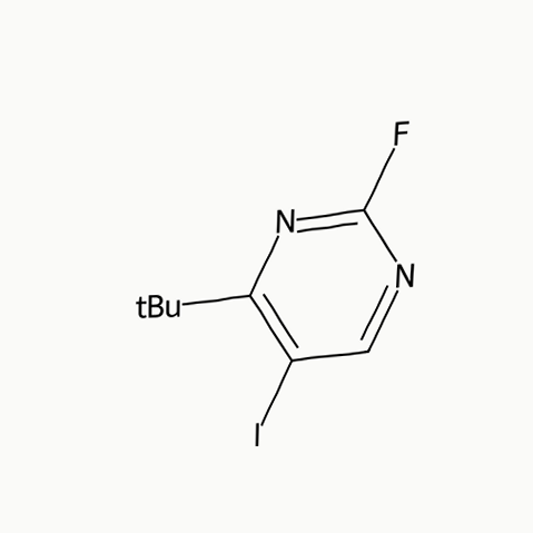 CC(C)(C)c1nc(F)ncc1I